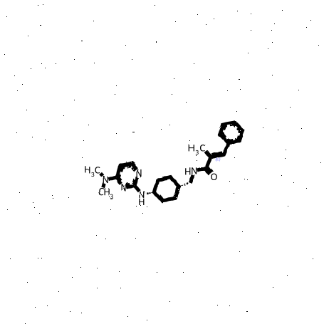 C/C(=C\c1ccccc1)C(=O)NC[C@H]1CC[C@@H](Nc2nccc(N(C)C)n2)CC1